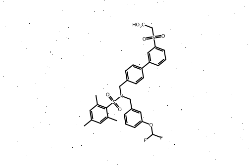 Cc1cc(C)c(S(=O)(=O)N(Cc2ccc(-c3cccc(S(=O)(=O)CC(=O)O)c3)cc2)Cc2cccc(OC(F)F)c2)c(C)c1